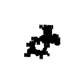 CCC(C)[C@H](NC(=O)[C@H](CC1=CNC2C=CC=CC12)N[C@H](O)[C@@H]1CSSC[C@H](C)[C@@H](O)N2CCC[C@H]2[C@H](O)N[C@@H](Cc2ccc(O)cc2)[C@@H](O)NC[C@@H](O)N[C@@H](CC(C)C)[C@H](O)N1)[C@@H](O)N[C@@H](CC[C@H](N)O)C(N)=O